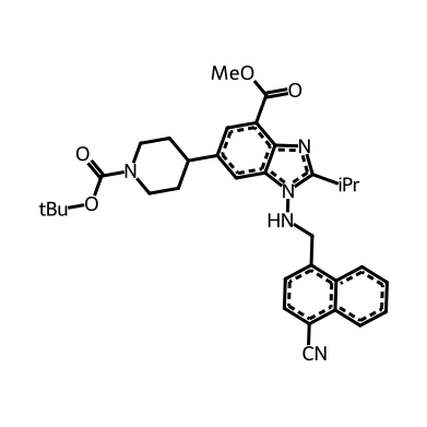 COC(=O)c1cc(C2CCN(C(=O)OC(C)(C)C)CC2)cc2c1nc(C(C)C)n2NCc1ccc(C#N)c2ccccc12